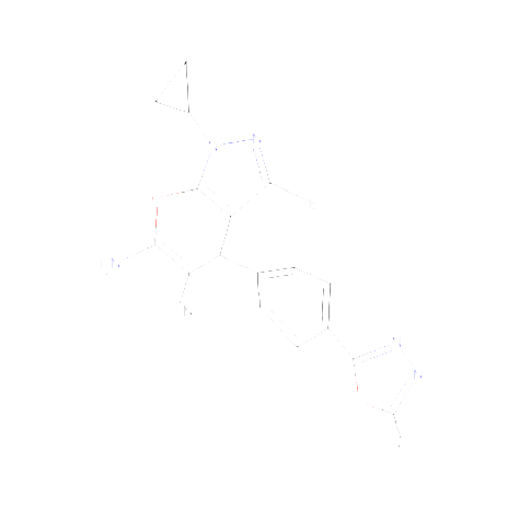 CCc1nn(C2CC2)c2c1C(c1ccc(-c3nnc(C)o3)cc1)C(C#N)=C(N)O2